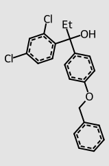 CCC(O)(c1ccc(OCc2ccccc2)cc1)c1ccc(Cl)cc1Cl